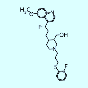 COc1ccc2nccc([C@@H](F)CC[C@@H]3CCN(CCCSc4ccccc4F)C[C@@H]3CO)c2c1